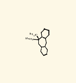 CNC1(C)CC2CCCCC2CC2CCCCC21